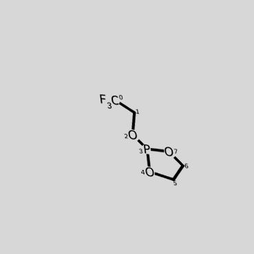 FC(F)(F)COP1OCCO1